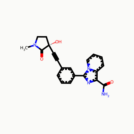 CN1CC[C@@](O)(C#Cc2cccc(-c3nc(C(N)=O)c4ccccn34)c2)C1=O